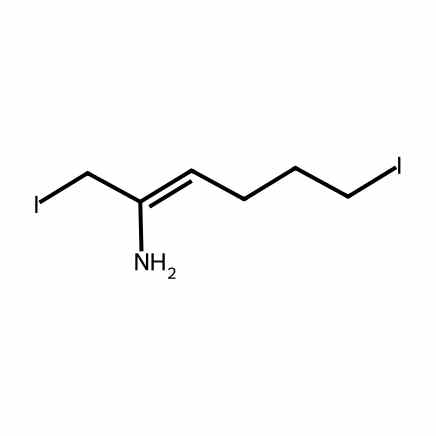 N/C(=C\CCCI)CI